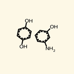 Nc1cccc(O)c1.Oc1ccc(O)cc1